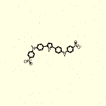 CN(c1ccc(-c2ccc(-c3ccc(N(C)c4ccc([N+](=O)[O-])cc4)cc3)n2C)cc1)c1ccc([N+](=O)[O-])cc1